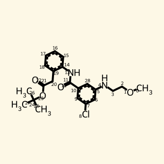 COCCNc1cc(Cl)cc(C(=O)Nc2ccccc2CC(=O)OC(C)(C)C)c1